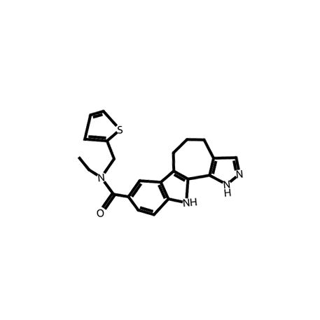 CCN(Cc1cccs1)C(=O)c1ccc2[nH]c3c(c2c1)CCCc1cn[nH]c1-3